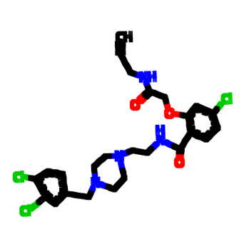 C#CCNC(=O)COc1cc(Cl)ccc1C(=O)NCCN1CCN(Cc2ccc(Cl)c(Cl)c2)CC1